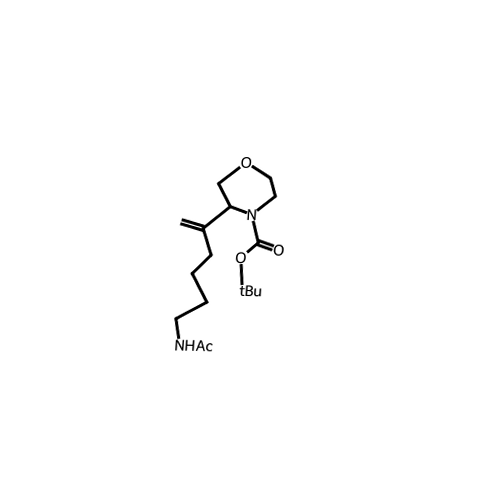 C=C(CCCCNC(C)=O)C1COCCN1C(=O)OC(C)(C)C